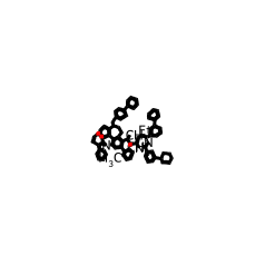 CCC1C=C(C(C)C(C)c2c(-c3ccccc3C)cc(-n3c4c(c5ccccc53)C=CCC4)c3c2CCC(Cc2ccc(-c4ccccc4)cc2)c2ccccc2-3)N=C(c2cccc(C3C=CCCC3)c2)N=C1c1cccc(-c2ccccc2)c1